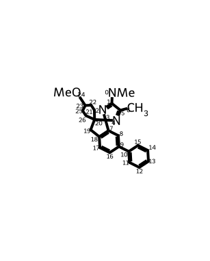 CNC1=NC2(N=C1C)c1cc(-c3ccccc3)ccc1CC21CCC(OC)CC1